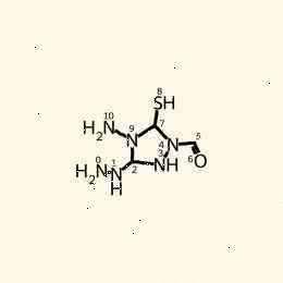 NNC1NN(C=O)C(S)N1N